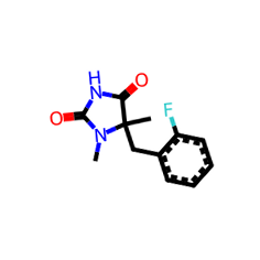 CN1C(=O)NC(=O)C1(C)Cc1ccccc1F